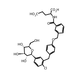 O=C(O)CC[C@H](NC(=O)c1cccc(COc2ccc(Cc3cc([C@@H]4O[C@H](CO)[C@@H](O)[C@H](O)[C@H]4O)ccc3Cl)cc2)c1)C(=O)O